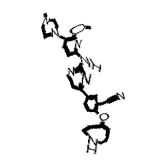 COc1nc(Nc2nccc(-c3ccc(OC4CCNCC4)c(C#N)c3)n2)ccc1N1CCN(C)CC1